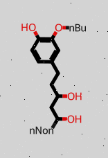 CCCCCCCCCC(O)CC(O)CCc1ccc(O)c(OCCCC)c1